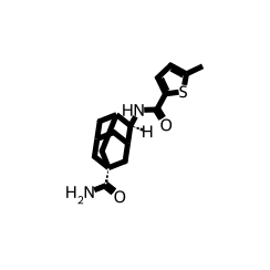 Cc1ccc(C(=O)N[C@H]2C3CC4CC2C[C@](C(N)=O)(C4)C3)s1